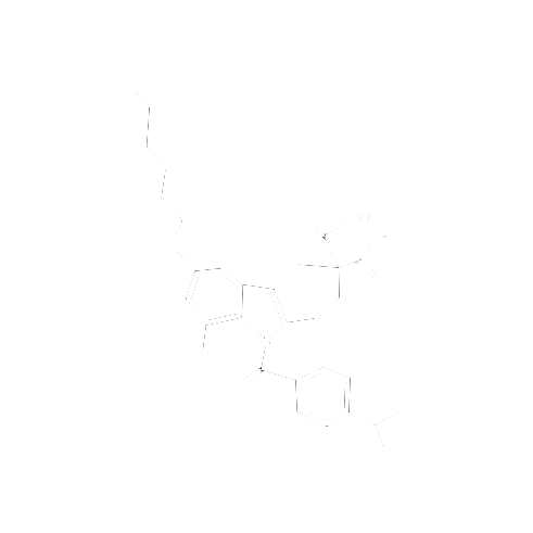 CCCCCCOc1cc(Cl)c2c(c1)c1c(n2C(=S)c2ccc(C(C)C)cc2)CCC(C(=O)O)(C(=O)O)C1